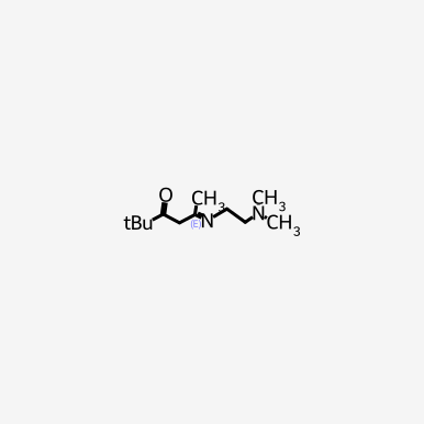 C/C(CC(=O)C(C)(C)C)=N\CCN(C)C